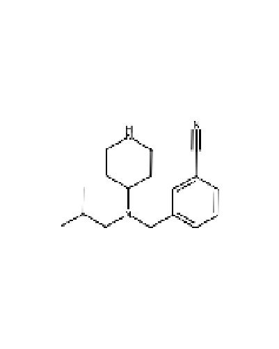 CC(C)CN(Cc1cccc(C#N)c1)C1CCNCC1